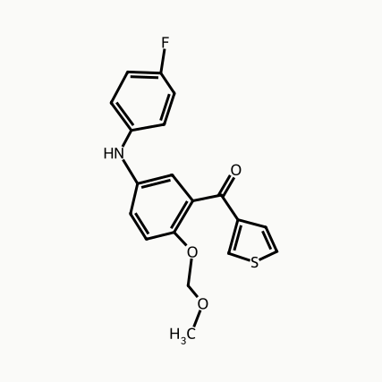 COCOc1ccc(Nc2ccc(F)cc2)cc1C(=O)c1ccsc1